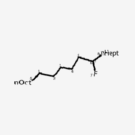 CCCCCCCCCCCCC[C](F)CCCCCCC